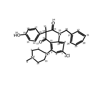 CN1CCN(c2cc(Cl)cc3c2C(=O)C(C)(c2ccc(O)cc2)C(=O)N3Cc2ccccc2)CC1